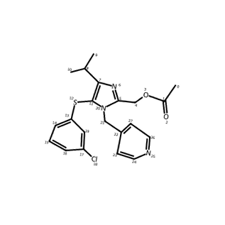 CC(=O)OCc1nc(C(C)C)c(Sc2cccc(Cl)c2)n1Cc1ccncc1